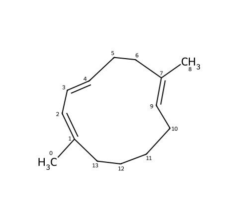 C/C1=C/C=C/CC/C(C)=C/CCCC1